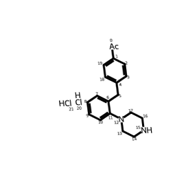 CC(=O)c1ccc(Cc2ccccc2N2CCNCC2)cc1.Cl.Cl